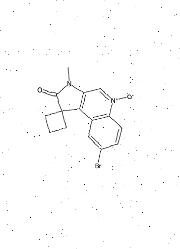 CN1C(=O)C2(CCC2)c2c1c[n+]([O-])c1ccc(Br)cc21